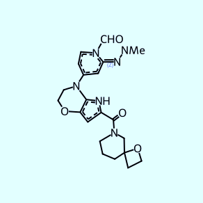 CN/N=c1/cc(N2CCOc3cc(C(=O)N4CCCC5(CCO5)C4)[nH]c32)ccn1C=O